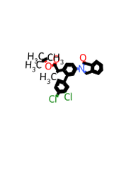 CC(C(=O)OC(C)(C)C)c1ccc(N2Cc3ccccc3C2=O)cc1-c1ccc(Cl)c(Cl)c1